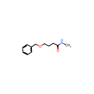 CNC(=O)CCCOCc1ccccc1